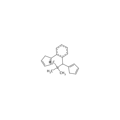 C[Si](C)(C)[C](C1=CC=CC1)c1ccccc1C1=CC=CC1